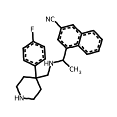 CC(NCC1(c2ccc(F)cc2)CCNCC1)c1cc(C#N)cc2ccccc12